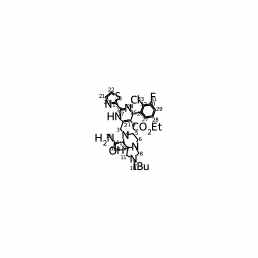 CCOC(=O)C1=C(CN2CCN3CN(C(C)(C)C)C[C@@H]3[C@H]2C(N)=O)NC(c2nccs2)=N[C@H]1c1cccc(F)c1Cl